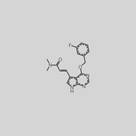 CN(C)C(=O)C=Cc1c[nH]c2ncnc(OCc3cccc(F)c3)c12